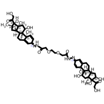 C[C@@H]1C[C@H]2[C@@H]3CCC4=C/C(=N/NC(=O)COCCOCC(=O)N/N=C5\C=C[C@@]6(C)C(=C5)CC[C@H]5[C@@H]7C[C@@H](C)[C@](O)(C(=O)CO)[C@@]7(C)C[C@H](O)[C@@]56F)C=C[C@]4(C)[C@@]3(F)[C@@H](O)C[C@]2(C)[C@@]1(O)C(=O)CO